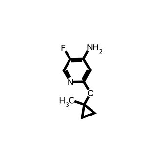 CC1(Oc2cc(N)c(F)cn2)CC1